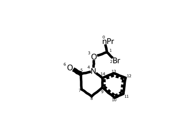 CCCC(Br)ON1C(=O)CCc2ccccc21